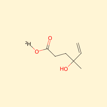 [2H]OC(=O)CCC(C)(O)C=C